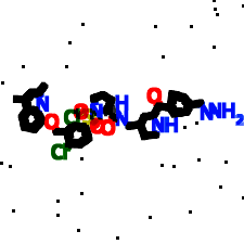 Cc1cc(C)c2cccc(OCc3c(Cl)ccc(S(=O)(=O)N4CCC[C@H]4C(=O)NCC4CCNC(C(=O)c5ccc(C=NN)cc5)C4)c3Cl)c2n1